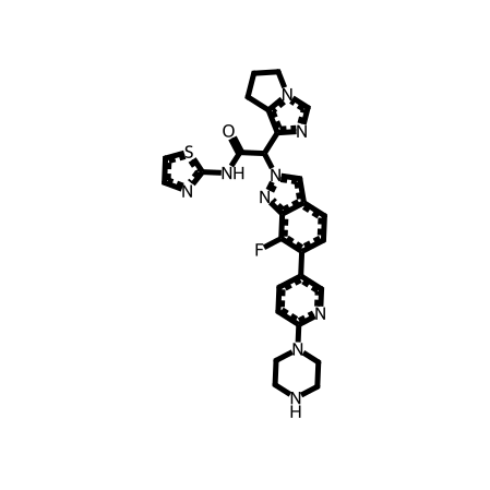 O=C(Nc1nccs1)C(c1ncn2c1CCC2)n1cc2ccc(-c3ccc(N4CCNCC4)nc3)c(F)c2n1